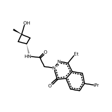 CCc1nn(CC(=O)N[C@H]2C[C@@](C)(O)C2)c(=O)c2ccc(C(C)C)cc12